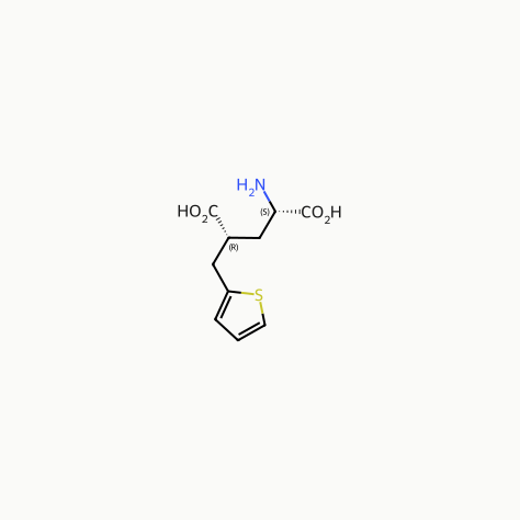 N[C@@H](C[C@H](Cc1cccs1)C(=O)O)C(=O)O